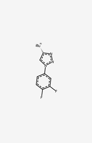 CC[C@@H](C)c1cn(-c2ccc(F)c(F)c2)nn1